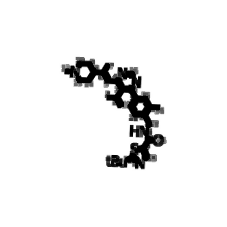 C=C(C)c1c(/C=C(\C)C2CCN(C)CC2)ncnc1-c1ccc(CNC(=O)c2cnc(C(C)(C)C)s2)c(C)c1